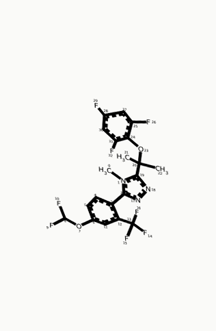 Cn1c(-c2ccc(OC(F)F)cc2C(F)(F)F)nnc1C(C)(C)Oc1c(F)cc(F)cc1F